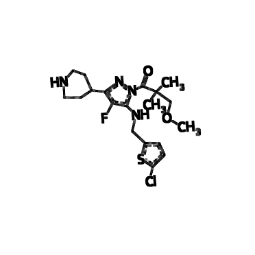 COCC(C)(C)C(=O)n1nc(C2CCNCC2)c(F)c1NCc1ccc(Cl)s1